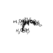 CCNC(=O)c1cn(COCC[Si](C)(C)C)c2ncc(O[C@@H]3CCN(C(=O)OC(C)(C)C)C[C@H]3C)nc12